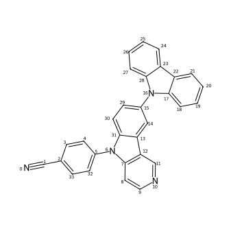 N#Cc1ccc(-n2c3ccncc3c3cc(-n4c5ccccc5c5ccccc54)ccc32)cc1